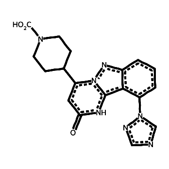 O=C(O)N1CCC(c2cc(=O)[nH]c3c4c(-n5cncn5)cccc4nn23)CC1